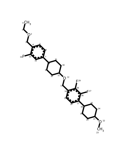 CCOCc1ccc(C2CCC(OCc3ccc(C4CCC(OC)CC4)c(F)c3F)CC2)cc1F